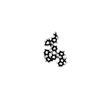 CC1=CC2=C3B(c4ccc(N5C6=C(C=C(C(C)(C)C)CC6)C6(C)CCCCC56C)cc4N(c4cccc5oc6ccccc6c45)C3C1)c1cccc3c4c(n2c13)-c1ccccc1C4(C)C